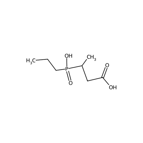 CCCP(=O)(O)C(C)CC(=O)O